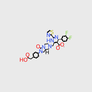 COC(=O)C1=C(CN2CCN3C(=O)N(c4ccc(CC(=O)O)cc4)C[C@@H]3C2)NC(c2nccs2)=N[C@H]1c1ccc(F)c(F)c1